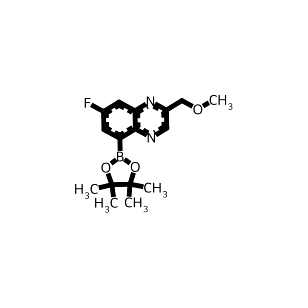 COCc1cnc2c(B3OC(C)(C)C(C)(C)O3)cc(F)cc2n1